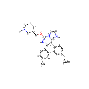 COCc1ccc(-c2c(-c3ccc(C#N)cc3)nc(OC[C@@H]3CCCN(C)C3)n3ccnc23)cc1